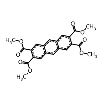 COC(=O)c1cc2cc3cc(C(=O)OC)c(C(=O)OC)cc3cc2cc1C(=O)OC